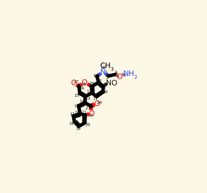 CN(CCON)Cc1c(N=O)ccc2c(-c3cc4ccccc4oc3=O)cc(=O)oc12